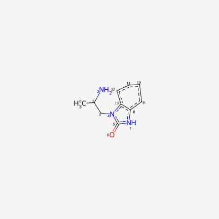 CC(N)Cn1c(=O)[nH]c2ccccc21